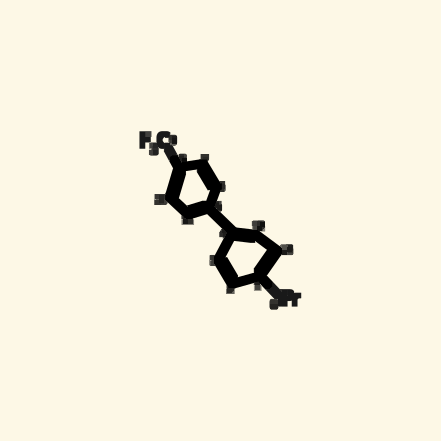 CC(C)c1ccc(-c2ccc(C(F)(F)F)cc2)cc1